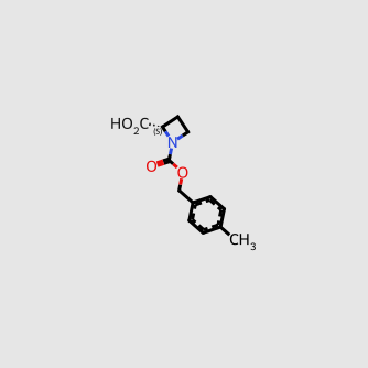 Cc1ccc(COC(=O)N2CC[C@H]2C(=O)O)cc1